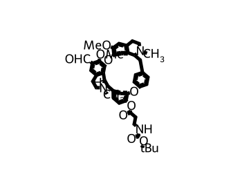 COc1cc2c3cc1Oc1c(OC)c(C=O)cc4c1[C@@H](Cc1ccc(OC(=O)CCNC(=O)OC(C)(C)C)c(c1)Oc1ccc(cc1)CC3N(C)CC2)N(C)CC4